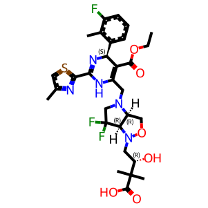 CCOC(=O)C1=C(CN2CC(F)(F)[C@H]3[C@@H]2CON3C[C@H](O)C(C)(C)C(=O)O)NC(c2nc(C)cs2)=N[C@H]1c1cccc(F)c1C